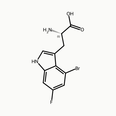 N[C@@H](Cc1c[nH]c2cc(F)cc(Br)c12)C(=O)O